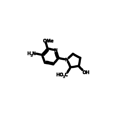 COc1nc(N2CCC(O)C2C(=O)O)ccc1N